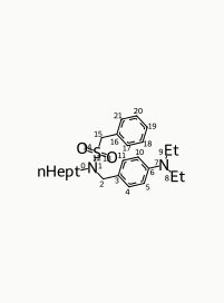 CCCCCCCN(Cc1ccc(N(CC)CC)cc1)S(=O)(=O)Cc1ccccc1